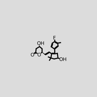 Cc1cc(C2=C(/C=C/[C@@H]3C[C@@H](O)CC(=O)O3)C(C)(C)CC(O)C2)ccc1F